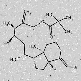 C=C(COC(=O)C(C)(C)C)[C@H](C)[C@H](O)C[C@@H](C)[C@H]1CC[C@H]2/C(=C/Br)CCC[C@]12C